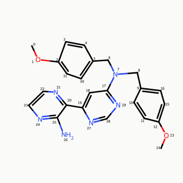 COc1ccc(CN(Cc2ccc(OC)cc2)c2cc(-c3nccnc3N)ncn2)cc1